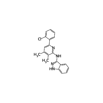 Cc1cc(-c2ccccc2Cl)nc(Nc2n[nH]c3ccccc23)c1C